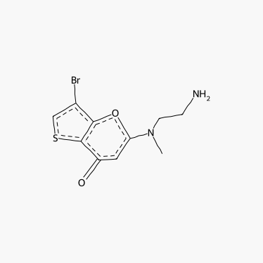 CN(CCN)c1cc(=O)c2scc(Br)c2o1